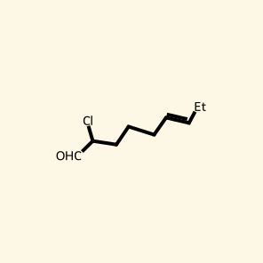 CCC=CCCCC(Cl)C=O